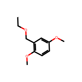 [CH2]COCc1cc(OC)ccc1OC